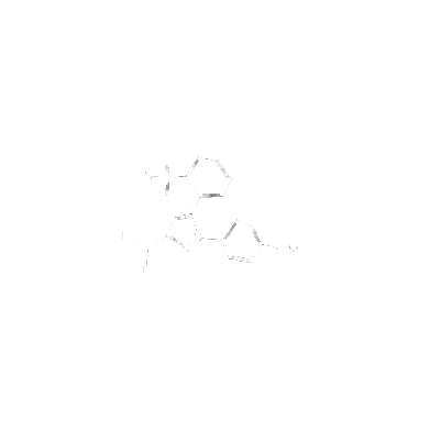 COc1ccc(-n2nc(C(F)F)cc2-c2ccccc2S(N)(=O)=O)cc1